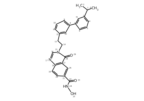 CC(C)c1cccc(-c2cccc(CCn3cnc4ccc(C(=O)NO)cc4c3=O)c2)c1